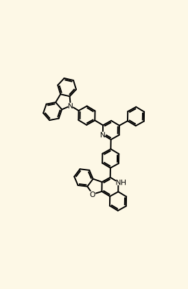 C1=CC2=c3oc4ccccc4c3=C(c3ccc(-c4cc(-c5ccccc5)cc(-c5ccc(-n6c7ccccc7c7ccccc76)cc5)n4)cc3)NC2C=C1